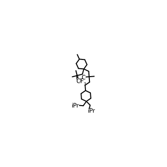 CC(C)CC1(CC(C)C)CCC(CCC(C)(CC2(CC(C)(C)C(F)(F)F)CCC(C)CC2)C(F)(F)F)CC1